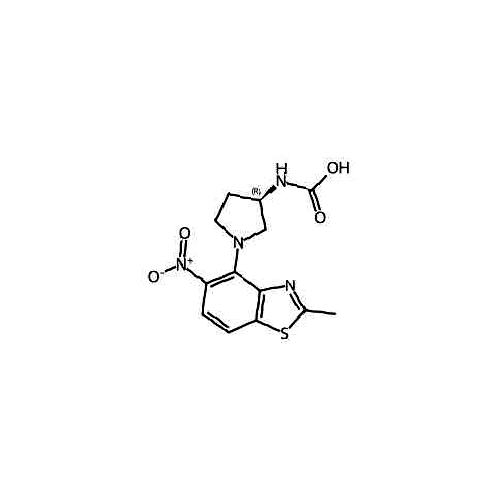 Cc1nc2c(N3CC[C@@H](NC(=O)O)C3)c([N+](=O)[O-])ccc2s1